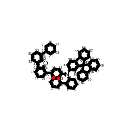 c1ccc(-c2ccccc2N(c2ccc(-c3cccc4c3oc3c(-c5ccccc5)cccc34)cc2)c2ccc3c(c2)C2(c4ccccc4-c4ccccc42)c2ccccc2-3)cc1